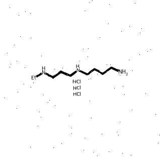 CCNCCCNCCCCN.Cl.Cl.Cl